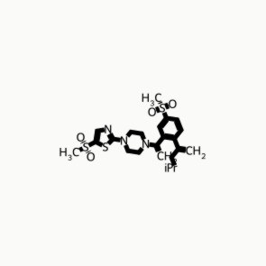 C=C(CC(C)C)c1ccc(S(C)(=O)=O)cc1C(=C)N1CCN(c2ncc(S(C)(=O)=O)s2)CC1